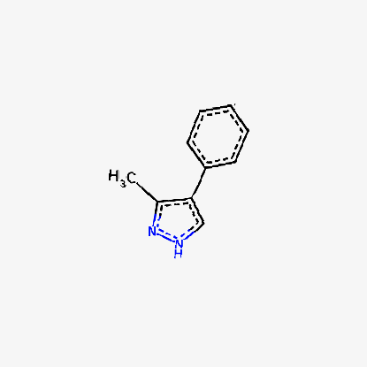 Cc1n[nH]cc1-c1cc[c]cc1